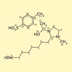 CCCCCCCCCCCCCCCCCC1N(C)CCN1C(C)O.Cc1ccc(S(=O)(=O)O)cc1